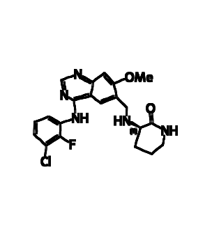 COc1cc2ncnc(Nc3cccc(Cl)c3F)c2cc1CN[C@@H]1CCCNC1=O